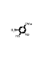 COc1ccc(S)c(N)c1.[Na]